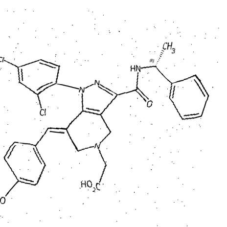 COc1ccc(C=C2CN(CC(=O)O)Cc3c(C(=O)N[C@H](C)c4ccccc4)nn(-c4ccc(Cl)cc4Cl)c32)cc1